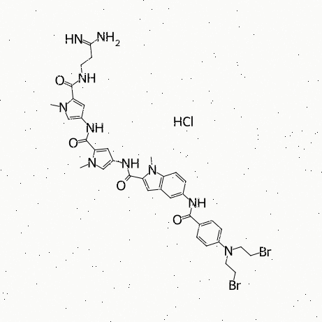 Cl.Cn1cc(NC(=O)c2cc(NC(=O)c3cc4cc(NC(=O)c5ccc(N(CCBr)CCBr)cc5)ccc4n3C)cn2C)cc1C(=O)NCCC(=N)N